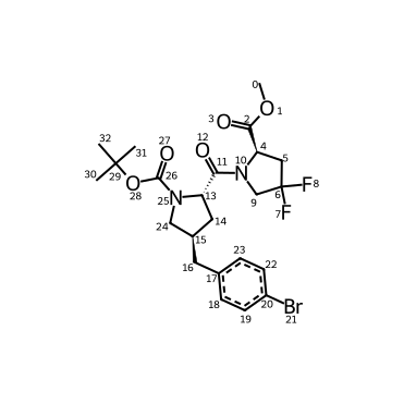 COC(=O)[C@H]1CC(F)(F)CN1C(=O)[C@@H]1C[C@@H](Cc2ccc(Br)cc2)CN1C(=O)OC(C)(C)C